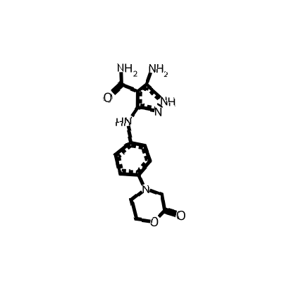 NC(=O)c1c(Nc2ccc(N3CCOC(=O)C3)cc2)n[nH]c1N